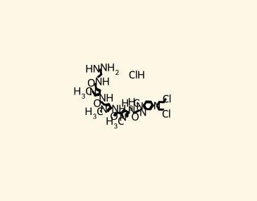 Cl.Cn1cc(NC(=O)c2cc(NC(=O)c3cc(NC(=O)c4nc5cc(N(CCCl)CCCl)ccc5n4C)cn3C)cn2C)cc1C(=O)NCCC(=N)N